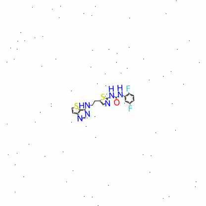 O=C(Nc1ncc(CCNc2ncnc3ccsc23)s1)Nc1cc(F)ccc1F